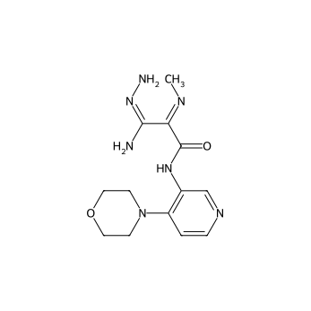 C/N=C(C(=O)Nc1cnccc1N1CCOCC1)\C(N)=N/N